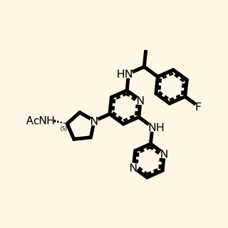 CC(=O)N[C@H]1CCN(c2cc(Nc3cnccn3)nc(NC(C)c3ccc(F)cc3)c2)C1